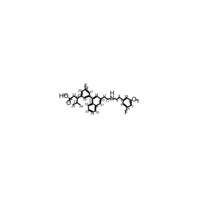 COc1cc(F)cc(CCNCCc2cc(-c3cc(F)cc(C(CC(=O)O)C(C)C)c3)c3ccccc3c2)c1